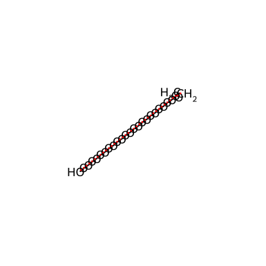 C=C(C)C(=O)OCCOCCOCCOCCOCCOCCOCCOCCOCCOCCOCCOCCOCCOCCOCCOCCOCCOCCOCCOCCOCCOCCOCCO